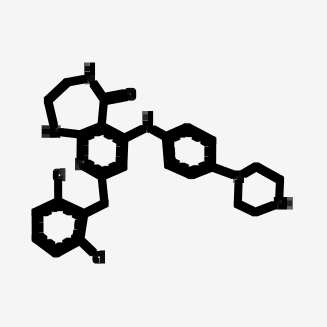 O=C1NCCNc2nc(Cc3c(Cl)cccc3Cl)cc(Nc3ccc(N4CCNCC4)cc3)c21